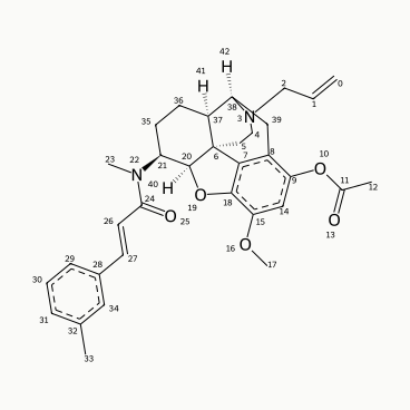 C=CCN1CC[C@]23c4c5c(OC(C)=O)cc(OC)c4O[C@H]2[C@@H](N(C)C(=O)C=Cc2cccc(C)c2)CC[C@H]3[C@H]1C5